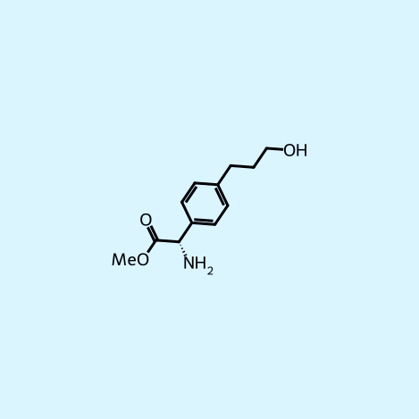 COC(=O)[C@@H](N)c1ccc(CCCO)cc1